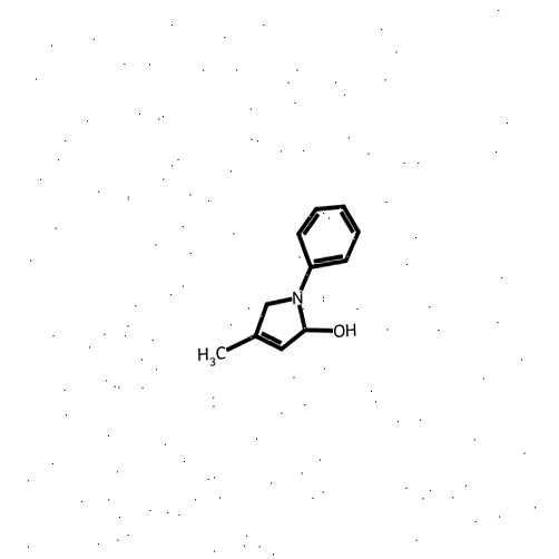 CC1=CC(O)N(c2ccccc2)C1